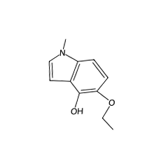 CCOc1ccc2c(ccn2C)c1O